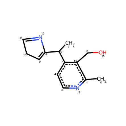 Cc1nccc(C(C)C2=CCC=N2)c1CO